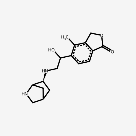 Cc1c(C(O)CN[C@H]2CC3CNC2C3)ccc2c1COC2=O